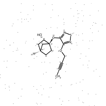 CC#CCOc1nsnc1O[C@]12CC[C@@H](CC1)C2.Cl